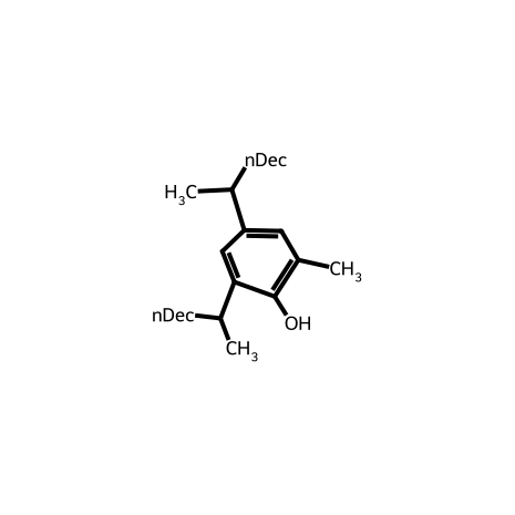 CCCCCCCCCCC(C)c1cc(C)c(O)c(C(C)CCCCCCCCCC)c1